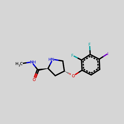 CNC(=O)[C@@H]1C[C@@H](Oc2ccc(I)c(F)c2F)CN1